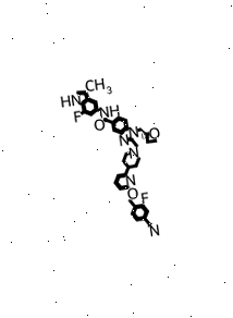 Cc1c[nH]c2c(F)cc(NC(=O)c3ccc4c(c3)nc(CN3CCC(c5cccc(OCc6ccc(C#N)cc6F)n5)CC3)n4C[C@@H]3CCO3)cc12